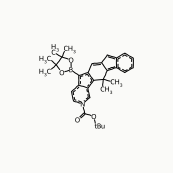 CC(C)(C)OC(=O)n1ccc2c(B3OC(C)(C)C(C)(C)O3)c3c(c-2c1)C(C)(C)C1=c2ccccc2=CC1=C3